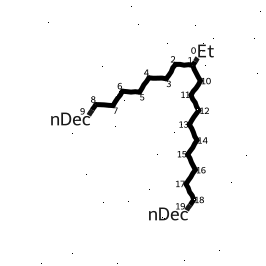 [CH2]CC(CCCCCCCCCCCCCCCCC)CCCCCCCCCCCCCCCCCCC